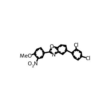 COc1ccc(-c2nc3cc(-c4ccc(Cl)cc4Cl)ccc3o2)cc1[N+](=O)[O-]